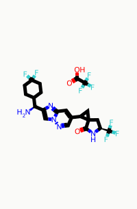 N[C@H](c1cn2ncc(C3CC34C[C@@H](C(F)(F)F)NC4=O)cc2n1)C1CCC(F)(F)CC1.O=C(O)C(F)(F)F